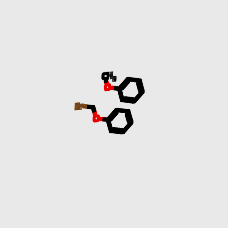 BrCOc1ccccc1.COc1ccccc1